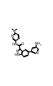 CN(C)c1ccc(NC(=O)c2n[nH]c3ccc(-c4cncc(N)c4)cc23)cn1